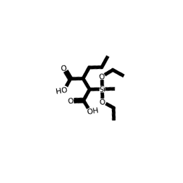 CCCC(C(=O)O)C(C(=O)O)[Si](C)(OCC)OCC